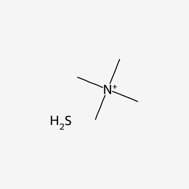 C[N+](C)(C)C.S